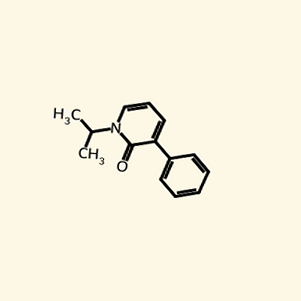 CC(C)n1cccc(-c2ccccc2)c1=O